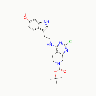 COc1ccc2c(CCNc3nc(Cl)nc4c3CCN(C(=O)OC(C)(C)C)C4)c[nH]c2c1